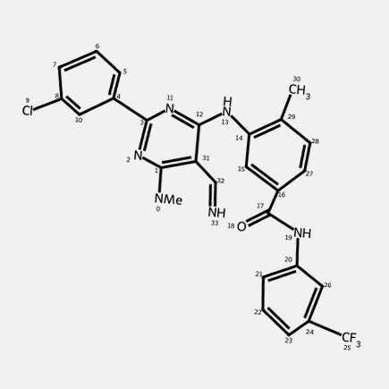 CNc1nc(-c2cccc(Cl)c2)nc(Nc2cc(C(=O)Nc3cccc(C(F)(F)F)c3)ccc2C)c1C=N